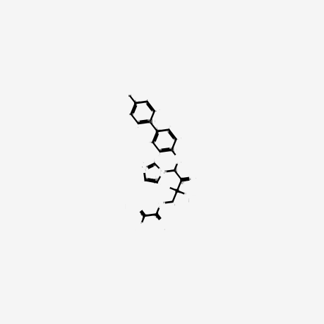 C=C(C)C(=O)OCC(C)(C)C(=O)C(Oc1ccc(-c2ccc(Cl)cc2)cc1)n1ccnc1